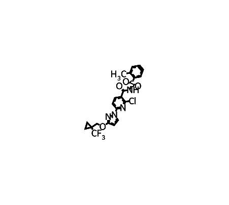 Cc1cc#ccc1S(=O)(=O)NC(=O)c1ccc(-n2ccc(OCC3(C(F)(F)F)CC3)n2)nc1Cl